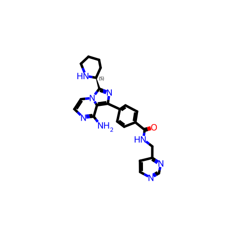 Nc1nccn2c([C@@H]3CCCCN3)nc(-c3ccc(C(=O)NCc4ccncn4)cc3)c12